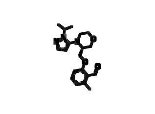 Cc1cccc(OC[C@@H]2COCCN2c2ccnn2C(C)C)c1C=O